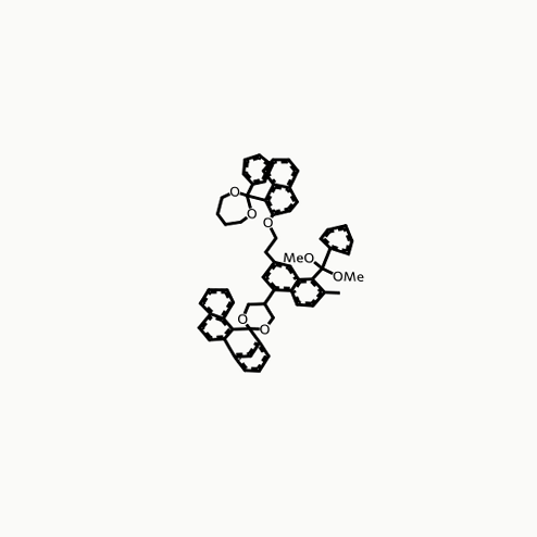 COC(OC)(c1ccccc1)c1c(C)ccc2c(C3COC4(OC3)c3cccc(c3)-c3ccc5ccccc5c34)cc(CCOc3ccc4ccccc4c3C3(c4ccccc4)OCCCCO3)cc12